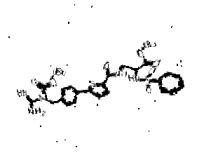 CC(C)(C)OC(=O)C(CNC(=O)c1ccc(-c2ccc(CN(C(=N)N)C(=O)OC(C)(C)C)cc2)s1)NS(=O)(=O)c1ccccc1